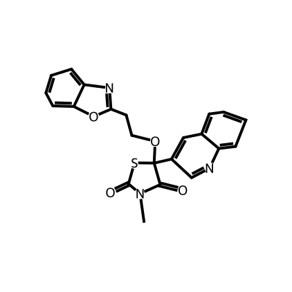 CN1C(=O)SC(OCCc2nc3ccccc3o2)(c2cnc3ccccc3c2)C1=O